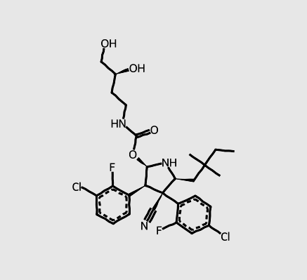 CCC(C)(C)C[C@@H]1N[C@H](OC(=O)NCC[C@H](O)CO)[C@H](c2cccc(Cl)c2F)[C@@]1(C#N)c1ccc(Cl)cc1F